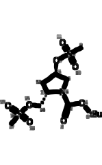 CC(C)(C)OC(=O)N1C[C@H](OS(C)(=O)=O)C[C@H]1COS(C)(=O)=O